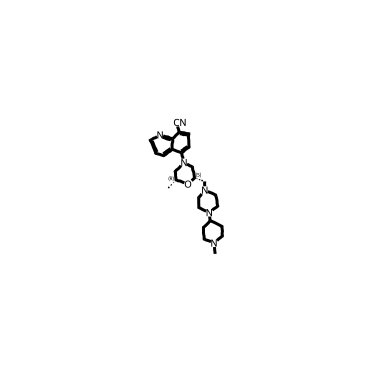 C[C@@H]1CN(c2ccc(C#N)c3ncccc23)C[C@H](CN2CCN(C3CCN(C)CC3)CC2)O1